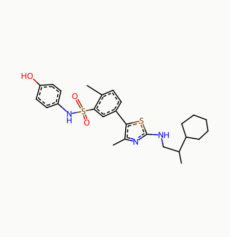 Cc1ccc(-c2sc(NCC(C)C3CCCCC3)nc2C)cc1S(=O)(=O)Nc1ccc(O)cc1